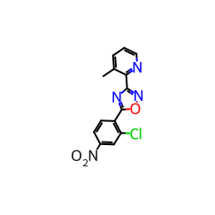 Cc1cccnc1-c1noc(-c2ccc([N+](=O)[O-])cc2Cl)n1